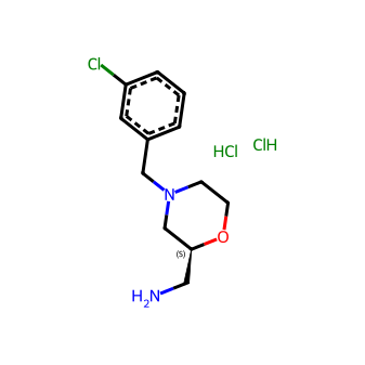 Cl.Cl.NC[C@H]1CN(Cc2cccc(Cl)c2)CCO1